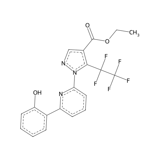 CCOC(=O)c1cnn(-c2cccc(-c3ccccc3O)n2)c1C(F)(F)C(F)(F)F